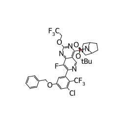 CC(C)(C)OC(=O)N1C2CCC1CN(c1nc(OCC(F)(F)F)nc3c(F)c(-c4cc(OCc5ccccc5)cc(Cl)c4C(F)(F)F)ncc13)C2